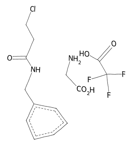 NCC(=O)O.O=C(CCCl)NCc1ccccc1.O=C(O)C(F)(F)F